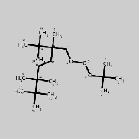 CC(C)(C)OOOCC(C)(CCC(C)(C)C(C)(C)C)C(C)(C)C